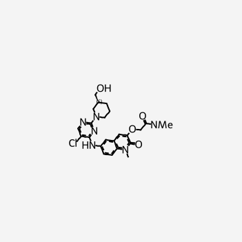 CNC(=O)COc1cc2cc(Nc3nc(N4CCC[C@H](CO)C4)ncc3Cl)ccc2n(C)c1=O